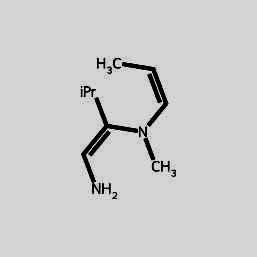 C/C=C\N(C)/C(=C\N)C(C)C